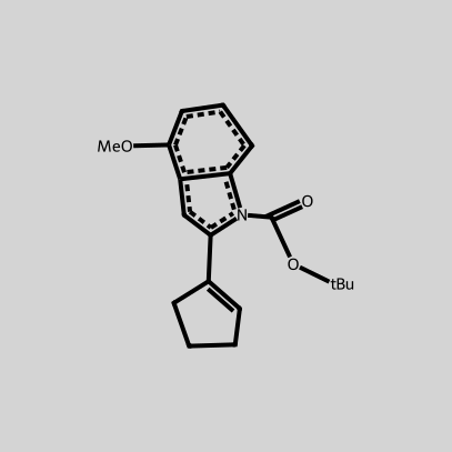 COc1cccc2c1cc(C1=CCCC1)n2C(=O)OC(C)(C)C